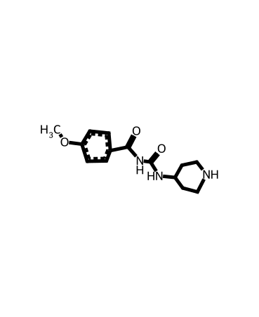 COc1ccc(C(=O)NC(=O)NC2CCNCC2)cc1